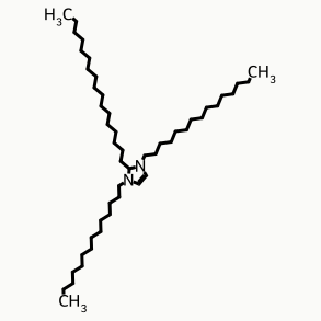 CCCCCCCCCCCCCCCCCC1N(CCCCCCCCCCCCCC)C=CN1CCCCCCCCCCCCCCC